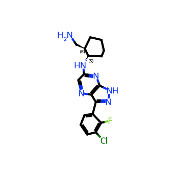 NC[C@H]1CCCC[C@@H]1Nc1cnc2c(-c3cccc(Cl)c3F)n[nH]c2n1